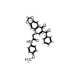 COc1ccc(NC(=O)Cn2cc(C(=O)c3ccccc3)c(=O)c3cc4c(cc32)OCO4)cc1